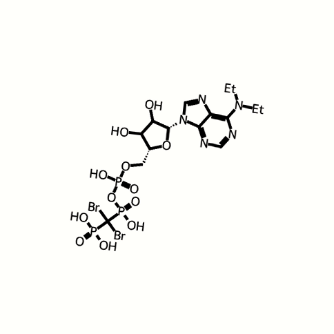 CCN(CC)c1ncnc2c1ncn2[C@@H]1O[C@H](COP(=O)(O)OP(=O)(O)C(Br)(Br)P(=O)(O)O)C(O)C1O